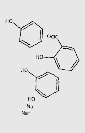 O=C([O-])c1ccccc1O.Oc1ccccc1.Oc1ccccc1.[Na+].[Na+].[OH-]